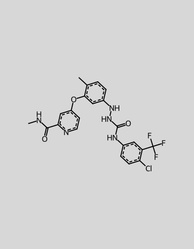 CNC(=O)c1cc(Oc2cc(NNC(=O)Nc3ccc(Cl)c(C(F)(F)F)c3)ccc2C)ccn1